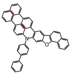 c1ccc(-c2ccc(-c3cc4c(cc3N(c3ccc(-c5ccccc5)cc3)c3ccc(-c5ccccc5)cc3)oc3c5ccccc5ccc43)cc2)cc1